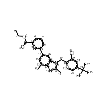 CCOC(=O)c1cccc(-c2cc(C)c3nc(C)n(Cc4ncc(C(F)(F)F)cc4Cl)c3c2)n1